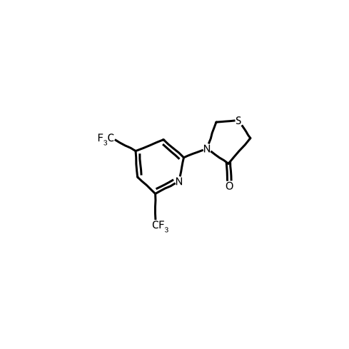 O=C1CSCN1c1cc(C(F)(F)F)cc(C(F)(F)F)n1